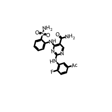 CC(=O)c1ccc(F)c(Nc2ncc(C(N)=O)c(Nc3ccccc3S(N)(=O)=O)n2)c1